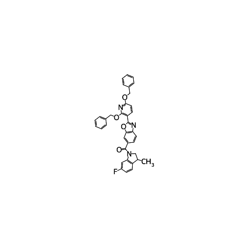 CC1CN(C(=O)c2ccc3nc(-c4ccc(OCc5ccccc5)nc4OCc4ccccc4)oc3c2)c2cc(F)ccc21